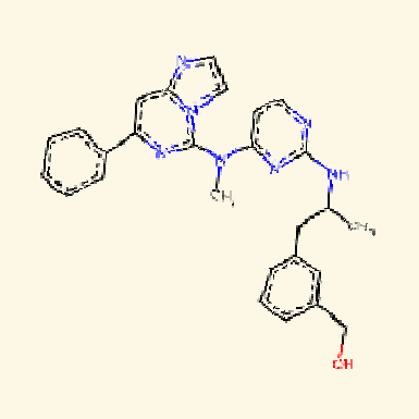 CC(Cc1cccc(CO)c1)Nc1nccc(N(C)c2nc(-c3ccccc3)cc3nccn23)n1